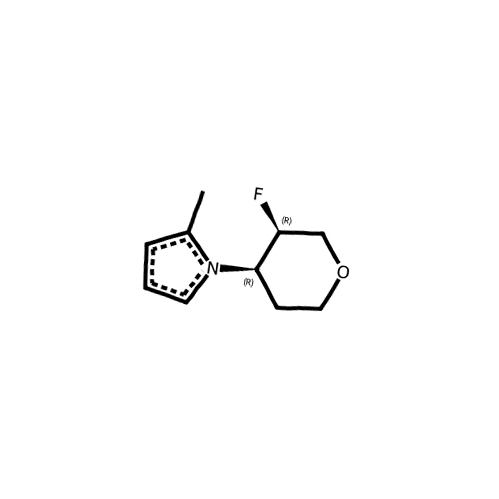 Cc1cccn1[C@@H]1CCOC[C@@H]1F